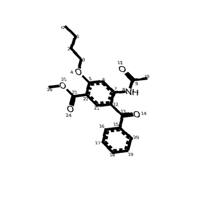 CCCCOc1cc(NC(C)=O)c(C(=O)c2ccccc2)cc1C(=O)OC